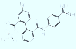 CS(=O)(=O)OC(=O)c1cc(Br)ccc1-c1ccccc1C(=O)Nc1ccc(C(=N)N)cc1